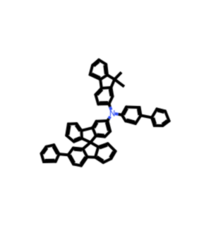 CC1(C)c2ccccc2-c2ccc(N(c3ccc(-c4ccccc4)cc3)c3ccc4c(c3)-c3ccccc3C43c4ccccc4-c4ccc(-c5ccccc5)cc43)cc21